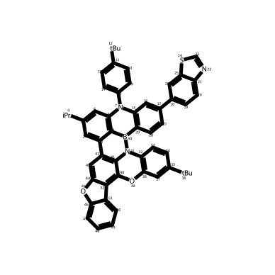 CC(C)c1cc2c3c(c1)N(c1ccc(C(C)(C)C)cc1)c1cc(-c4ccc5ncsc5c4)ccc1B3N1c3ccc(C(C)(C)C)cc3Oc3c1c-2cc1oc2ccccc2c31